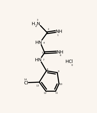 Cl.N=C(N)NC(=N)Nc1ccccc1Cl